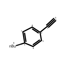 [C]#Cc1ccc(CCCC)cc1